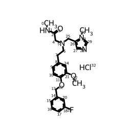 CNC(=O)CN(CCc1ccc(OCc2cccc(F)c2)c(OC)c1)Cc1cncn1C.Cl